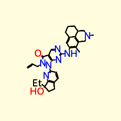 C=CCn1c(=O)c2cnc(Nc3cc4c5c(c3C)CN(C)CC5CCC4)nc2n1-c1ccc2c(n1)C(O)(CC)CC2